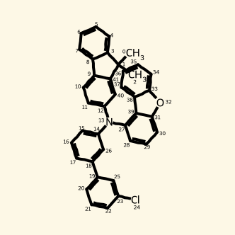 CC1(C)c2ccccc2-c2ccc(N(c3cccc(-c4cccc(Cl)c4)c3)c3cccc4oc5ccccc5c34)cc21